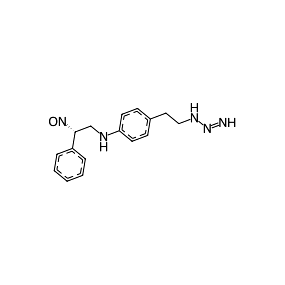 N=NNCCc1ccc(NC[C@@H](N=O)c2ccccc2)cc1